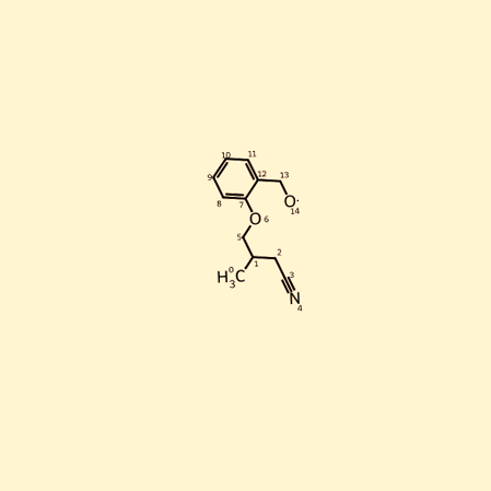 CC(CC#N)COc1ccccc1C[O]